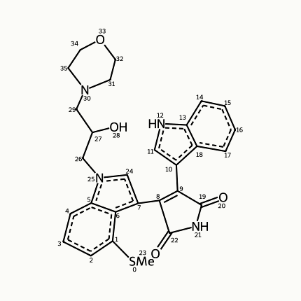 CSc1cccc2c1c(C1=C(c3c[nH]c4ccccc34)C(=O)NC1=O)cn2CC(O)CN1CCOCC1